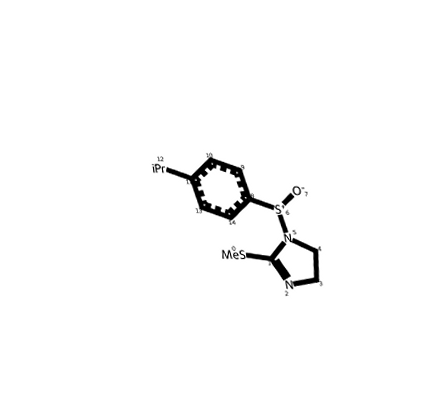 CSC1=NCCN1[S+]([O-])c1ccc(C(C)C)cc1